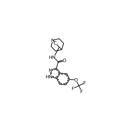 O=C(NC1CN2CCC1CC2)c1n[nH]c2ccc(OC(F)(F)F)cc12